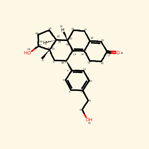 C[C@]12C[C@H](c3ccc(CCO)cc3)C3=C4CCC(=O)C=C4CC[C@H]3[C@@H]1CCC2O